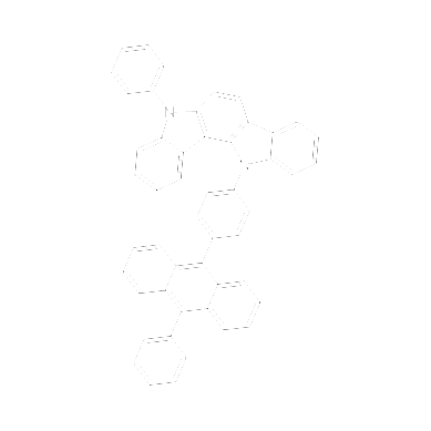 c1ccc(-c2c3ccccc3c(-c3ccc(-n4c5ccccc5c5ccc6c(c7ccccc7n6-c6ccccc6)c54)cc3)c3ccccc23)cc1